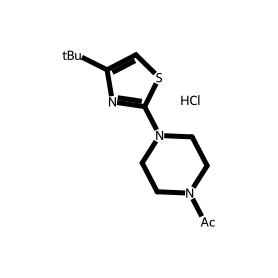 CC(=O)N1CCN(c2nc(C(C)(C)C)cs2)CC1.Cl